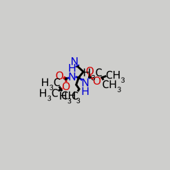 CCCC(CC#N)(NC(=O)OC(C)(C)C)NC(=O)OC(C)(C)C